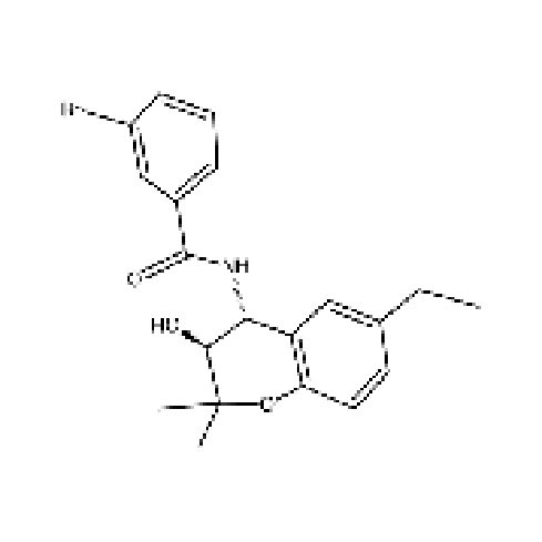 CCc1ccc2c(c1)[C@@H](NC(=O)c1cccc(Br)c1)[C@H](O)C(C)(C)O2